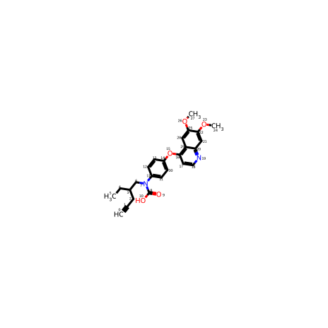 C#CCC(CC)CN(C(=O)O)c1ccc(Oc2ccnc3cc(OC)c(OC)cc23)cc1